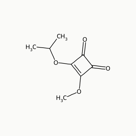 COc1c(OC(C)C)c(=O)c1=O